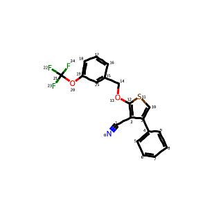 N#Cc1c(-c2ccccc2)csc1OCc1cccc(OC(F)(F)F)c1